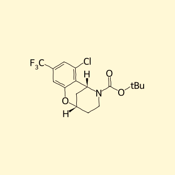 CC(C)(C)OC(=O)N1CC[C@H]2C[C@@H]1c1c(Cl)cc(C(F)(F)F)cc1O2